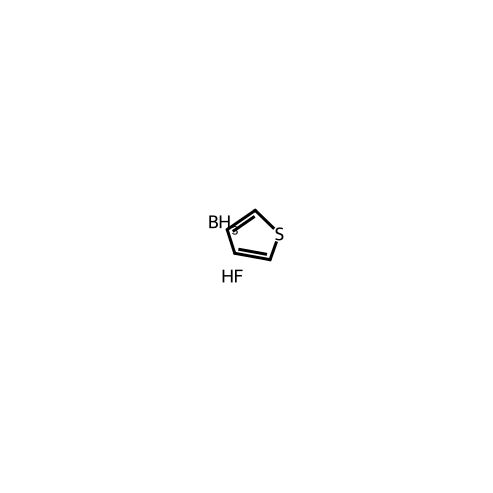 B.F.c1ccsc1